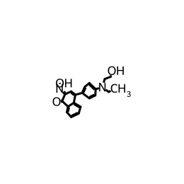 CCN(CCO)c1ccc(C2=CC(=NO)C(=O)c3ccccc32)cc1